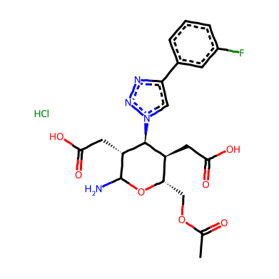 CC(=O)OC[C@@H]1OC(N)[C@H](CC(=O)O)[C@@H](n2cc(-c3cccc(F)c3)nn2)[C@H]1CC(=O)O.Cl